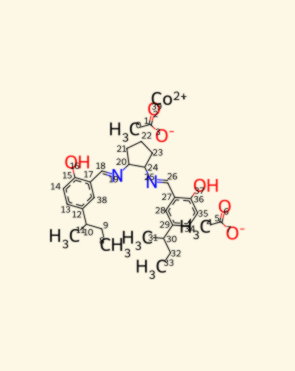 CC(=O)[O-].CC(=O)[O-].CCC(C)c1ccc(O)c(C=NC2CCCC2N=Cc2cc(C(C)CC)ccc2O)c1.[Co+2]